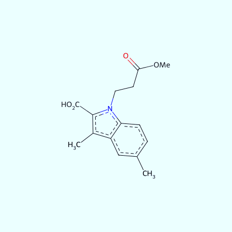 COC(=O)CCn1c(C(=O)O)c(C)c2cc(C)ccc21